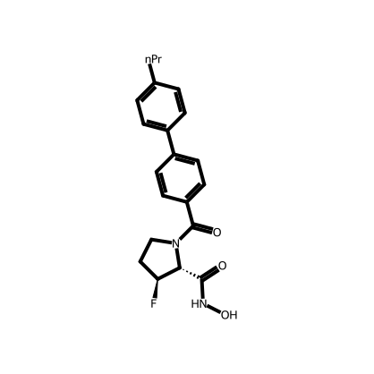 CCCc1ccc(-c2ccc(C(=O)N3CC[C@H](F)[C@H]3C(=O)NO)cc2)cc1